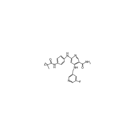 CC1(C(=O)Nc2ccc(Nc3cc(NCc4cncc(F)c4)c(C(N)=O)cn3)cc2)CC1